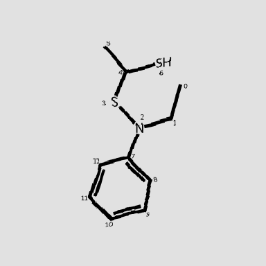 CCN(SC(C)S)c1ccccc1